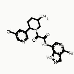 CC1CCC(c2cncc(Cl)c2)N(C(=O)C(=O)Nc2cnc(N)c3cn[nH]c23)C1